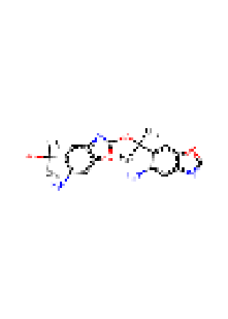 CC(C)(O)c1cc2nc(OC(C)(C)c3cc4ocnc4cc3N)oc2cc1N